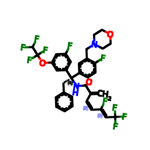 C=C(/C=C\C(F)=C\C(F)(F)F)C(=O)N[C@@](Cc1ccccc1)(c1cc(F)cc(OC(F)(F)C(F)F)c1)c1ccc(F)c(CN2CCOCC2)c1